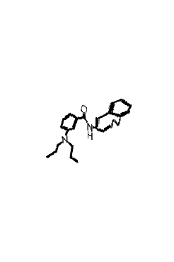 CCCN(CCC)c1cccc(C(=O)Nc2cnc3ccccc3c2)c1